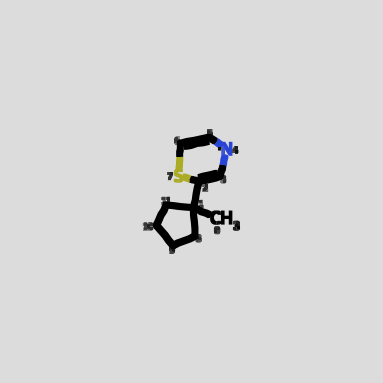 CC1(C2=C[N]C=CS2)CCCC1